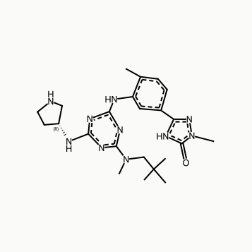 Cc1ccc(-c2nn(C)c(=O)[nH]2)cc1Nc1nc(N[C@@H]2CCNC2)nc(N(C)CC(C)(C)C)n1